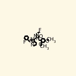 COc1ccc(Cn2c(-c3nn(Cc4ccccc4F)c4ncccc34)nn(CCF)c2=O)c(OC)c1